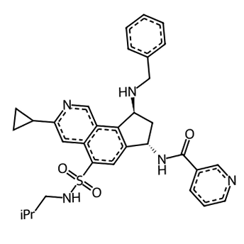 CC(C)CNS(=O)(=O)c1cc2c(c3cnc(C4CC4)cc13)[C@@H](NCc1ccccc1)C[C@@H]2NC(=O)c1cccnc1